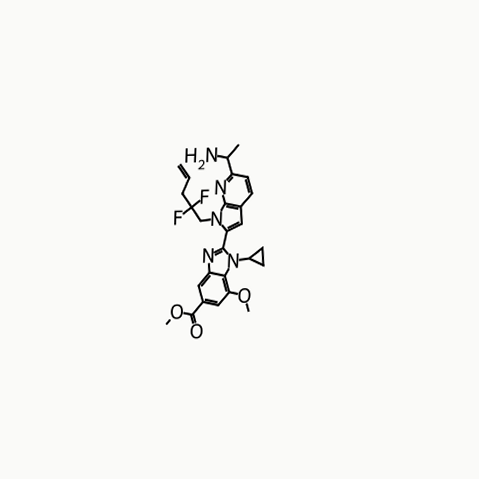 C=CCC(F)(F)Cn1c(-c2nc3cc(C(=O)OC)cc(OC)c3n2C2CC2)cc2ccc(C(C)N)nc21